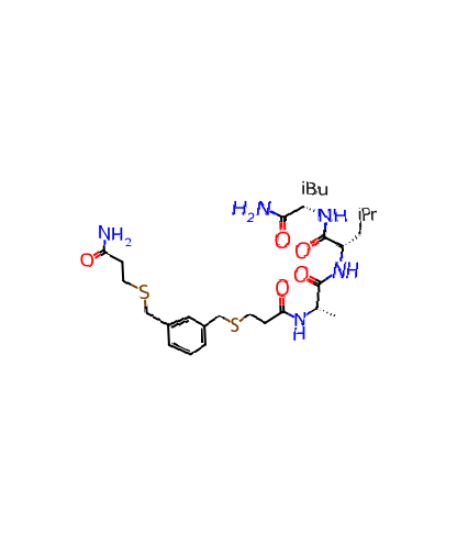 CC[C@H](C)[C@H](NC(=O)[C@H](CC(C)C)NC(=O)[C@H](C)NC(=O)CCSCc1cccc(CSCCC(N)=O)c1)C(N)=O